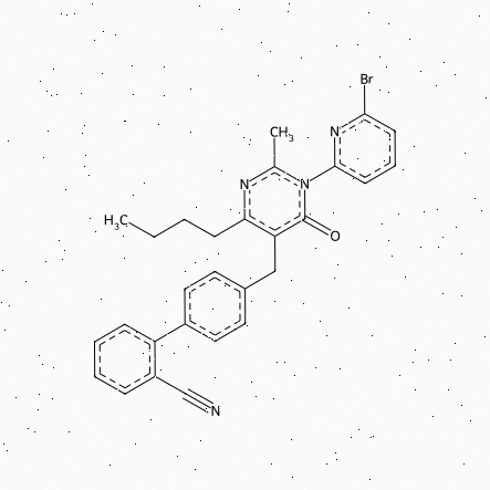 CCCCc1nc(C)n(-c2cccc(Br)n2)c(=O)c1Cc1ccc(-c2ccccc2C#N)cc1